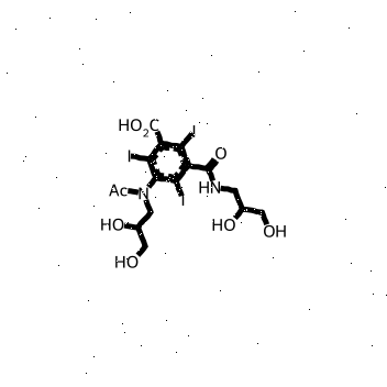 CC(=O)N(CC(O)CO)c1c(I)c(C(=O)O)c(I)c(C(=O)NCC(O)CO)c1I